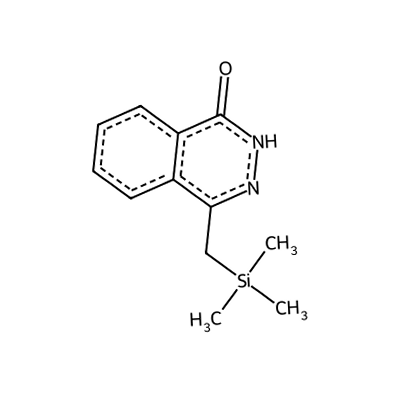 C[Si](C)(C)Cc1n[nH]c(=O)c2ccccc12